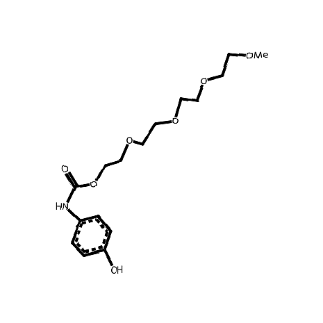 COCCOCCOCCOCCOC(=O)Nc1ccc(O)cc1